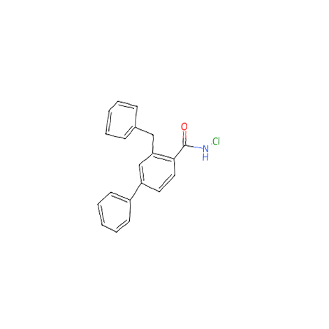 O=C(NCl)c1ccc(-c2ccccc2)cc1Cc1ccccc1